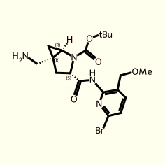 COCc1ccc(Br)nc1NC(=O)[C@@H]1C[C@@]2(CN)C[C@H]2N1C(=O)OC(C)(C)C